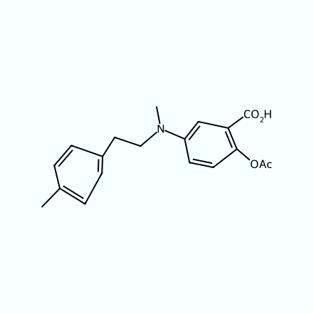 CC(=O)Oc1ccc(N(C)CCc2ccc(C)cc2)cc1C(=O)O